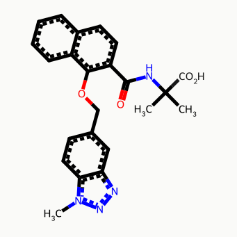 Cn1nnc2cc(COc3c(C(=O)NC(C)(C)C(=O)O)ccc4ccccc34)ccc21